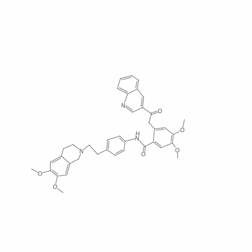 COc1cc2c(cc1OC)CN(CCc1ccc(NC(=O)c3cc(OC)c(OC)cc3CC(=O)c3cnc4ccccc4c3)cc1)CC2